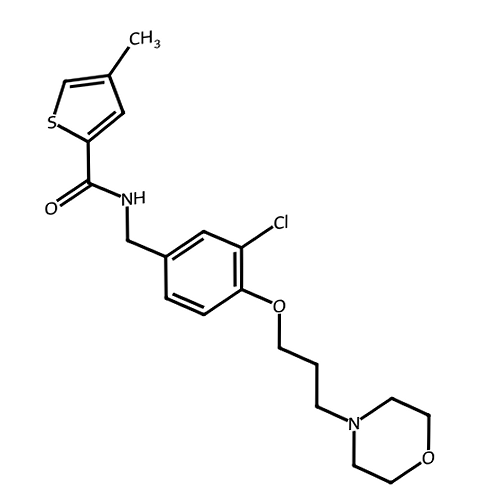 Cc1csc(C(=O)NCc2ccc(OCCCN3CCOCC3)c(Cl)c2)c1